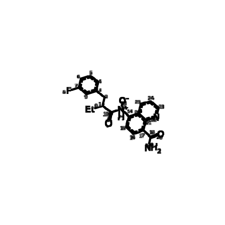 CCC(Cc1cccc(F)c1)C(=O)[NH+]([O-])c1ccc(C(N)=O)c2ncccc12